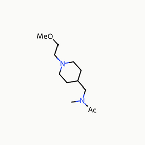 COCCN1CCC(CN(C)C(C)=O)CC1